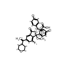 C=C(c1cc(F)c2c(c1)C(=O)N([C@H](c1ccc(Cl)cc1)[C@H](C)C(=O)O)C2(OC)c1ccc(Cl)cc1)C1CCOCC1